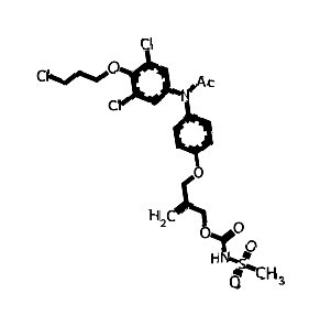 C=C(COC(=O)NS(C)(=O)=O)COc1ccc(N(C(C)=O)c2cc(Cl)c(OCCCCl)c(Cl)c2)cc1